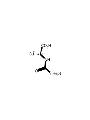 CCCCCCCC(=O)N[C@H](C(=O)O)[C@@H](C)CC